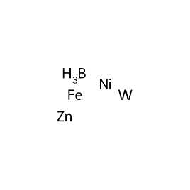 B.[Fe].[Ni].[W].[Zn]